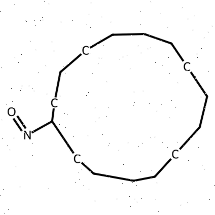 O=NC1CCCCCCCCCCCCCC1